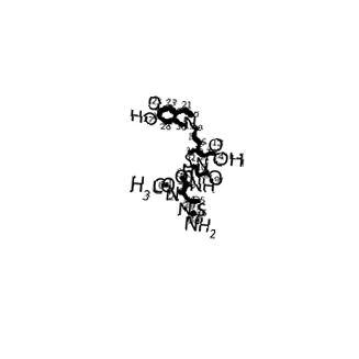 CO/N=C(\C(=O)NC1C(=O)N2C(C(=O)O)=C(/C=C/Cn3ccc4cc(=O)c(O)cc-4c3)CS[C@@H]12)c1csc(N)n1